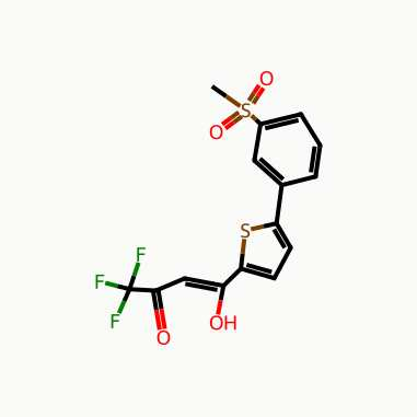 CS(=O)(=O)c1cccc(-c2ccc(C(O)=CC(=O)C(F)(F)F)s2)c1